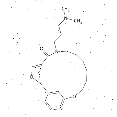 CN(C)CCCN1CCCCCCOc2cc(ccn2)-c2nc(co2)C1=O